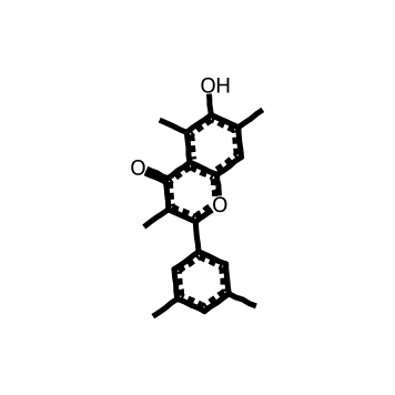 Cc1cc(C)cc(-c2oc3cc(C)c(O)c(C)c3c(=O)c2C)c1